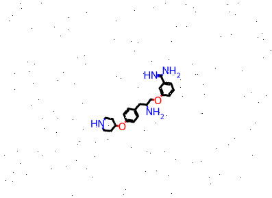 N=C(N)c1cccc(OC[C@@H](N)Cc2ccc(OC3CCNCC3)cc2)c1